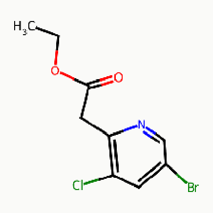 CCOC(=O)Cc1ncc(Br)cc1Cl